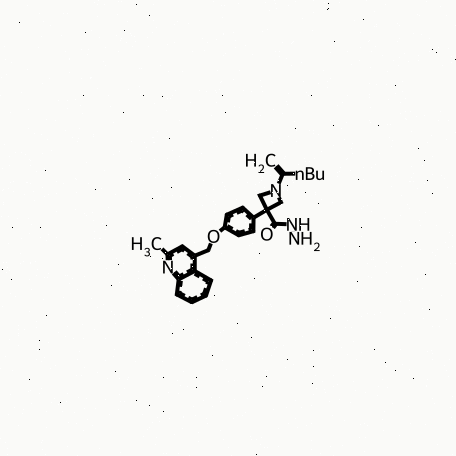 C=C(CCCC)N1CC(C(=O)NN)(c2ccc(OCc3cc(C)nc4ccccc34)cc2)C1